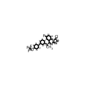 CN(c1cccc(-c2ccc(OC(F)(F)F)cc2)c1)c1nc2nnc(Cl)n2c2ccc(F)cc12